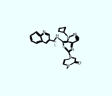 C[C@@H](Nc1nc(N2CCN(C)C(=O)C2)nc2cnn(C3CCC3)c12)c1cnc2ccccc2c1